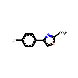 O=C(O)c1nc(-c2ccc(C(F)(F)F)cc2)cs1